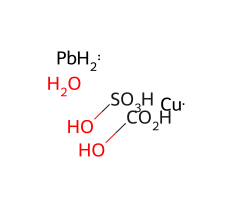 O.O=C(O)O.O=S(=O)(O)O.[Cu].[PbH2]